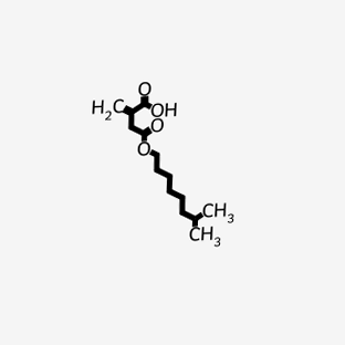 C=C(CC(=O)OCCCCCCC(C)C)C(=O)O